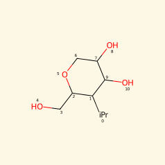 CC(C)C1C(CO)OCC(O)C1O